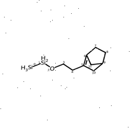 [SiH3][SiH2]OCCC1=C2CCC(C1)C2